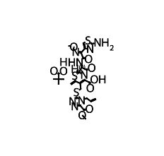 C=CCn1c(SCC2=C(C(=O)O)N3C(=O)[C@@H](NC(=O)C(=NOC)c4csc(N)n4)[C@H]3SC2=C)nnc1C(=O)OC.CC(C)(C)C(=O)O